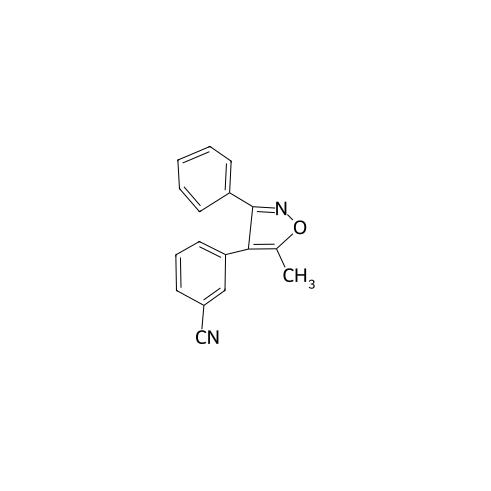 Cc1onc(-c2ccccc2)c1-c1cccc(C#N)c1